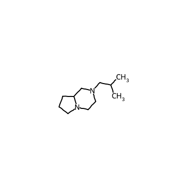 CC(C)CN1CCN2CCCC2C1